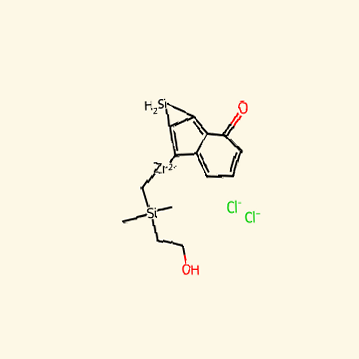 C[Si](C)(CCO)[CH2][Zr+2][C]1=C2[SiH2]C2=C2C(=O)C=CC=C12.[Cl-].[Cl-]